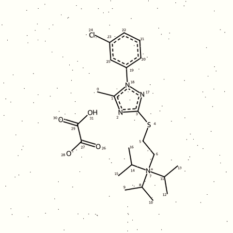 Cc1nc(SCC[N+](C(C)C)(C(C)C)C(C)C)nn1-c1cccc(Cl)c1.O=C([O-])C(=O)O